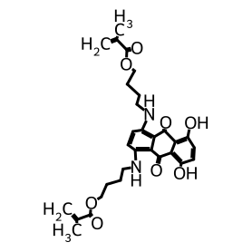 C=C(C)C(=O)OCCCCNc1ccc(NCCCCOC(=O)C(=C)C)c2c1C(=O)c1c(O)ccc(O)c1C2=O